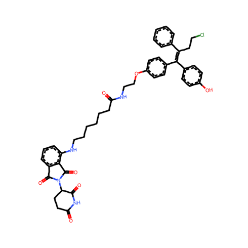 O=C(CCCCCCNc1cccc2c1C(=O)N(C1CCC(=O)NC1=O)C2=O)NCCOc1ccc(C(=C(CCCl)c2ccccc2)c2ccc(O)cc2)cc1